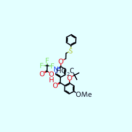 COc1ccc(C(=O)c2ccc(OCCSc3ccccc3)nc2)c(OC(C)(C)C(=O)O)c1.O=C(O)C(F)(F)F